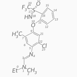 CCN(C)C=Nc1cc(C)c(Oc2ccccc2S(=N)(=O)C(F)(F)F)cc1Cl